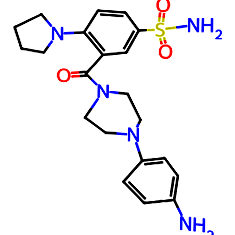 Nc1ccc(N2CCN(C(=O)c3cc(S(N)(=O)=O)ccc3N3CCCC3)CC2)cc1